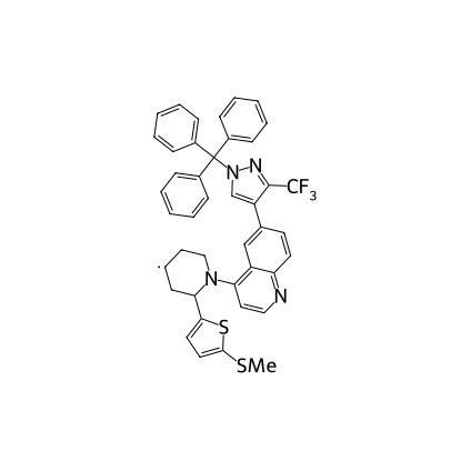 CSc1ccc(C2C[CH]CCN2c2ccnc3ccc(-c4cn(C(c5ccccc5)(c5ccccc5)c5ccccc5)nc4C(F)(F)F)cc23)s1